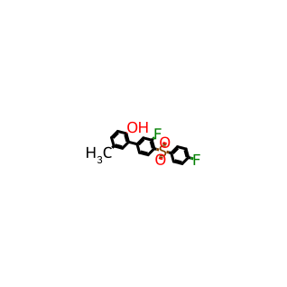 Cc1ccc(O)c(-c2ccc(S(=O)(=O)c3ccc(F)cc3)c(F)c2)c1